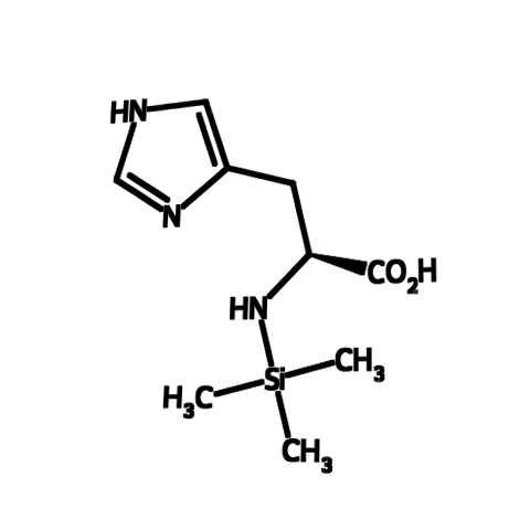 C[Si](C)(C)N[C@@H](Cc1c[nH]cn1)C(=O)O